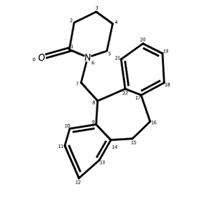 O=C1CCCCN1CC1c2ccccc2CCc2ccccc21